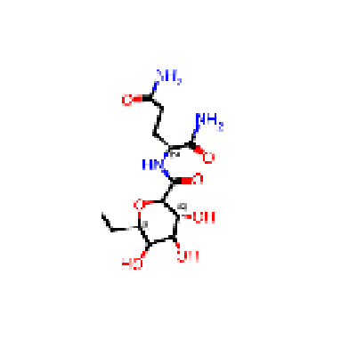 CC[C@H]1OC(C(=O)N[C@@H](CCC(N)=O)C(N)=O)[C@@H](O)C(O)C1O